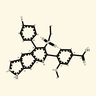 CCS(=O)(=O)c1c(-c2ccc(C(=O)O)cc2OC)nc2cc3[nH]ncc3cc2c1-c1ccc(F)cc1